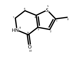 Cc1cc2c(s1)CCNC2=O